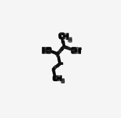 CC[CH]C(O)C(C)O